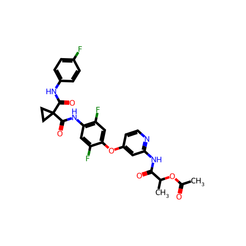 CC(=O)OC(C)C(=O)Nc1cc(Oc2cc(F)c(NC(=O)C3(C(=O)Nc4ccc(F)cc4)CC3)cc2F)ccn1